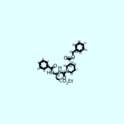 CCOC(=O)C[C@@H](NC(=O)c1ccccc1)NC(=O)N1CCC[C@@H](C(=O)OCc2ccccc2)C1